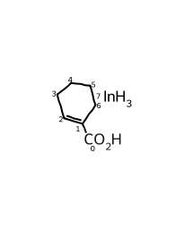 O=C(O)C1=CCCCC1.[InH3]